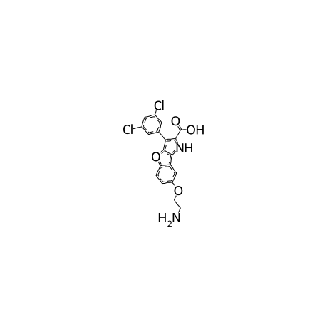 NCCOc1ccc2oc3c(-c4cc(Cl)cc(Cl)c4)c(C(=O)O)[nH]c3c2c1